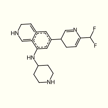 FC(F)C1=CCC(c2cc(NC3CCNCC3)c3c(c2)=CCNC=3)C=N1